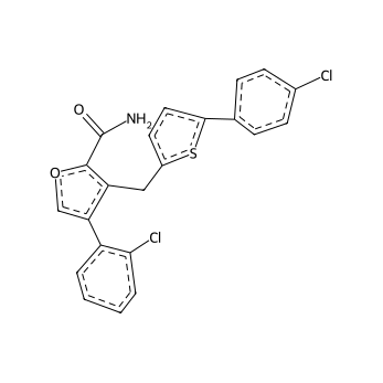 NC(=O)c1occ(-c2ccccc2Cl)c1Cc1ccc(-c2ccc(Cl)cc2)s1